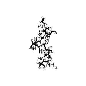 C=CCNC(=O)C(=O)C(CCC)NC(=O)[C@@H]1[C@@H]2[C@H](CN1C(=O)[C@@H](NC(=O)N[C@H](C(N)=O)C(C)(C)C)C(C)(C)C)C2(C)C